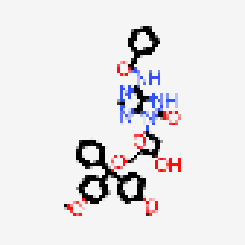 COc1ccc(C(OC[C@H]2O[C@@H](n3c(=O)[nH]c4c(NC(=O)c5ccccc5)ncnc43)C[C@H]2O)(c2ccccc2)c2ccc(OC)cc2)cc1